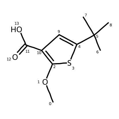 COc1sc(C(C)(C)C)cc1C(=O)O